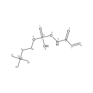 C=CC(=O)NOP(=O)(O)OCC[N+](C)(C)C